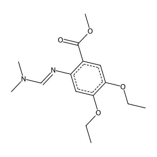 CCOc1cc(N=CN(C)C)c(C(=O)OC)cc1OCC